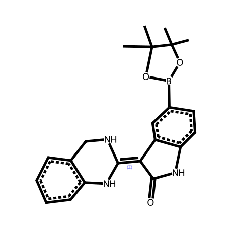 CC1(C)OB(c2ccc3c(c2)/C(=C2\NCc4ccccc4N2)C(=O)N3)OC1(C)C